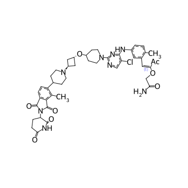 CC(=O)/C(=C\c1cc(Nc2nc(N3CCC(O[C@H]4C[C@H](N5CCC(c6ccc7c(c6C)C(=O)N(C6CCC(=O)NC6=O)C7=O)CC5)C4)CC3)ncc2Cl)ccc1C)OCC(N)=O